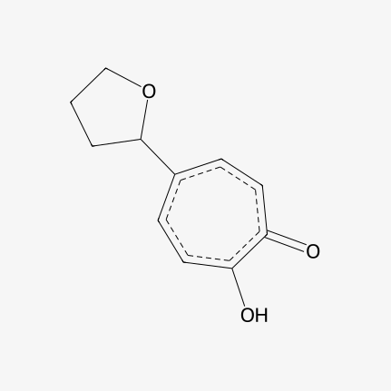 O=c1ccc(C2CCCO2)ccc1O